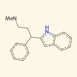 CNCCC(c1ccccc1)c1cc2ccccc2[nH]1